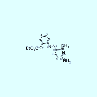 CCOC(=O)Oc1ccccc1N=Nc1ccc(N)nc1N